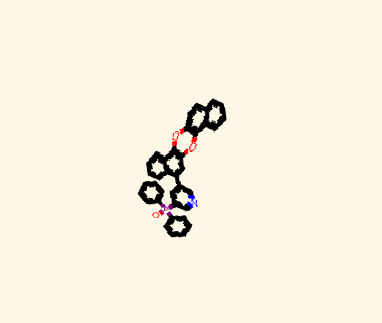 O=P(c1ccccc1)(c1ccccc1)c1cncc(-c2cc3c(c4ccccc24)Oc2ccc4ccccc4c2O3)c1